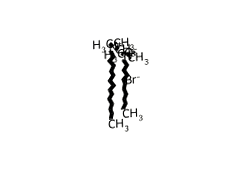 CCCCCCCCCCCCCCCC[N+](C)(C)C.CCCCCCCCCCCC[N+](C)(C)[O-].[Br-]